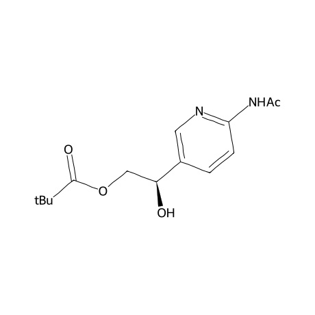 CC(=O)Nc1ccc([C@@H](O)COC(=O)C(C)(C)C)cn1